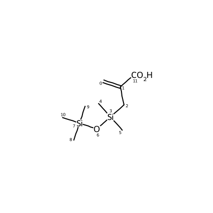 C=C(C[Si](C)(C)O[Si](C)(C)C)C(=O)O